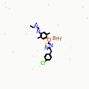 Br.CCN(C)C=Nc1cc(C)c(Oc2nc(Cc3ccc(Cl)cc3)ns2)cc1C